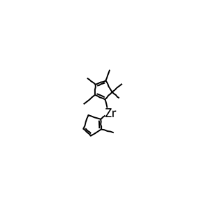 CC1=[C]([Zr][C]2=C(C)C(C)=C(C)C2(C)C)CC=C1